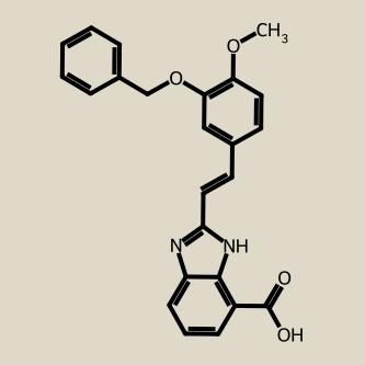 COc1ccc(C=Cc2nc3cccc(C(=O)O)c3[nH]2)cc1OCc1ccccc1